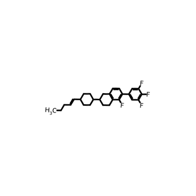 CCC/C=C/C1CCC(C2CCc3c(ccc(-c4cc(F)c(F)c(F)c4)c3F)C2)CC1